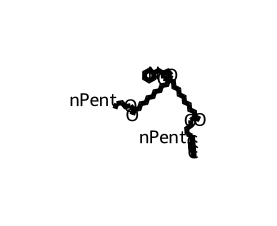 C=C=C=C=CC(CCCCC)CCOC(=O)CCCCCCCCCC1(CCCCCCCCCC(=O)OCCC(C)CCCCC)OCC(CN2CCCCC2)O1